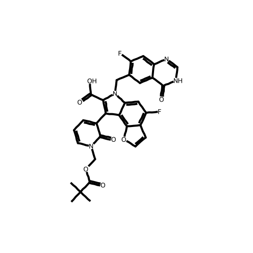 CC(C)(C)C(=O)OCn1cccc(-c2c(C(=O)O)n(Cc3cc4c(=O)[nH]cnc4cc3F)c3cc(F)c4ccoc4c23)c1=O